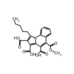 CCCCCc1c(C(=O)O)c(C(=O)O)c2c(C(=O)O)c(C(=O)OC)c3ccccc3n12